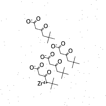 CC(C)(C)CC(=O)CC(=O)[O-].CC(C)(C)CC(=O)CC(=O)[O-].CC(C)(C)CC(=O)CC(=O)[O-].CC(C)(C)CC(=O)CC(=O)[O-].[Zr+4]